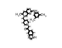 Cc1cc(C)cc(Nc2ncc3c(n2)CN(CC2CCN(CC(=O)c4ccc5[nH]nnc5c4)CC2)C(C)C3)c1